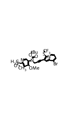 COc1cc(P(C)(C)=O)ncc1N(CC#Cc1cc2c(Br)cccn2c1SC(F)(F)F)C(=O)OC(C)(C)C